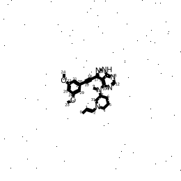 CC=CN1CCCC(N(C)c2ncnc3[nH]nc(C#Cc4cc(OC)cc(OC)c4)c23)C1